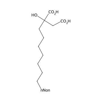 CCCCCCCCCCCCCCCCC(O)(CC(=O)O)C(=O)O